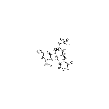 CC(c1nc(N)nc(N)n1)c1cc2cccc(Cl)c2nc1N1CCS(=O)(=O)CC1